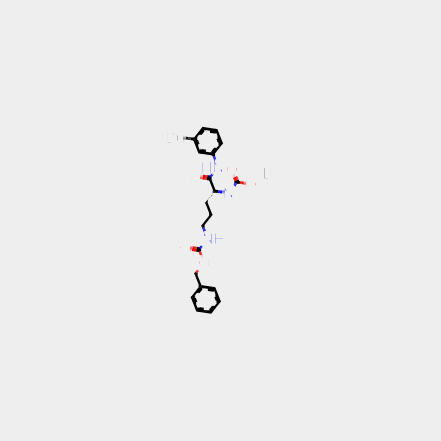 CC(C)(C)OC(=O)N[C@@H](CCCNC(=O)OCc1ccccc1)C(=O)Nc1[c]ccc(C(C)(C)C)c1